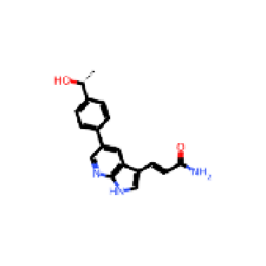 C[C@@H](O)c1ccc(-c2cnc3[nH]cc(C=CC(N)=O)c3c2)cc1